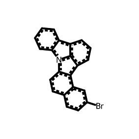 Brc1ccc2ccc3c(c2c1)c1cccc2c4ccccc4n3c21